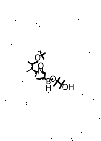 C/C=C(BOC(C)(C)C(C)(C)O)\C=N/C(C)[C@@H](C)C(C)C(=O)OC(C)(C)C